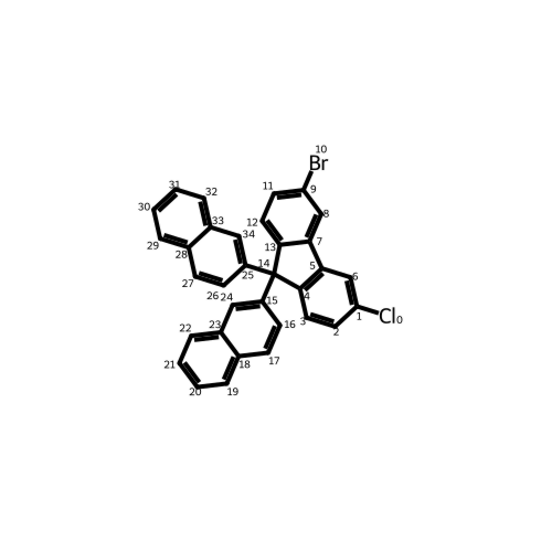 Clc1ccc2c(c1)-c1cc(Br)ccc1C2(c1ccc2ccccc2c1)c1ccc2ccccc2c1